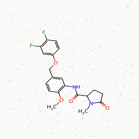 COc1ccc(COc2ccc(F)c(F)c2)cc1NC(=O)C1CCC(=O)N1C